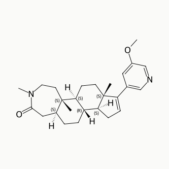 COc1cncc(C2=CC[C@H]3[C@@H]4CC[C@H]5CC(=O)N(C)CC[C@]5(C)[C@H]4CC[C@]23C)c1